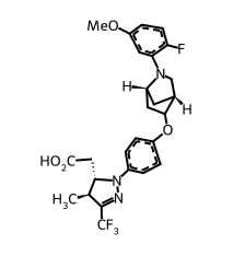 COc1ccc(F)c(N2C[C@H]3C[C@@H]2CC3Oc2ccc(N3N=C(C(F)(F)F)[C@@H](C)[C@@H]3CC(=O)O)cc2)c1